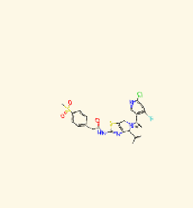 CC(C)C1c2nc(NC(=O)Cc3ccc(S(C)(=O)=O)cc3)sc2CN1[C@H](C)c1cnc(Cl)cc1F